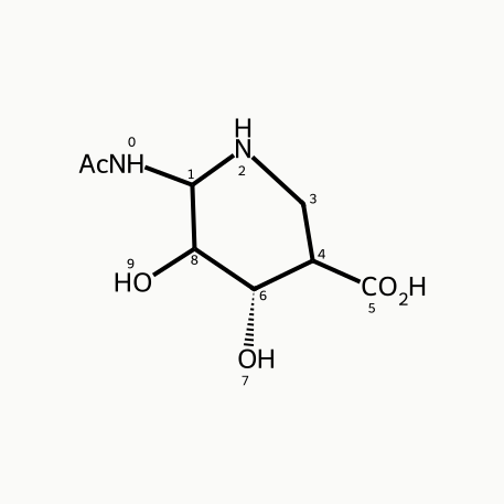 CC(=O)NC1NCC(C(=O)O)[C@H](O)C1O